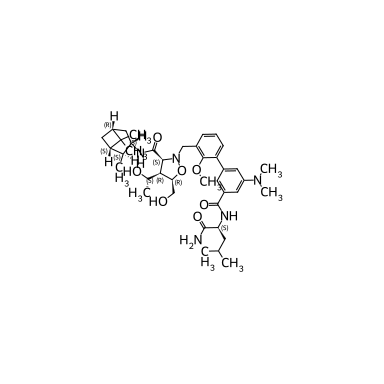 COc1c(CN2O[C@@H](CO)[C@@H]([C@H](C)O)[C@H]2C(=O)N[C@H]2C[C@H]3C[C@@H]([C@@H]2C)C3(C)C)cccc1-c1cc(C(=O)N[C@@H](CC(C)C)C(N)=O)cc(N(C)C)c1